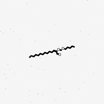 CCCCCCCCCCC/C=C(\C=O)OCOCCCCC